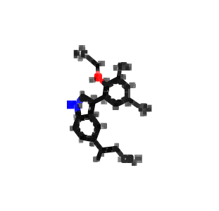 CC(=CC(=O)O)c1ccc2[nH]cc(-c3cc(C(C)(C)C)cc(C(C)(C)C)c3OCC(F)(F)F)c2c1